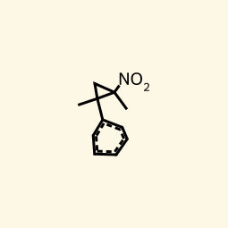 CC1(c2ccccc2)CC1(C)[N+](=O)[O-]